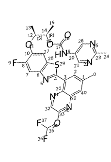 Cc1cc(-c2nc3cc(F)c(O[C@@H](C)[C@@H](C)OC(=O)Nc4cnc(C)nc4)cc3s2)c2ncc(OC(F)F)nc2c1